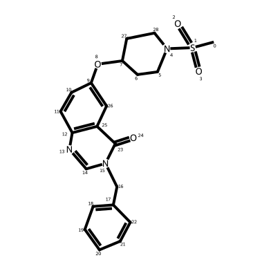 CS(=O)(=O)N1CCC(Oc2ccc3ncn(Cc4ccccc4)c(=O)c3c2)CC1